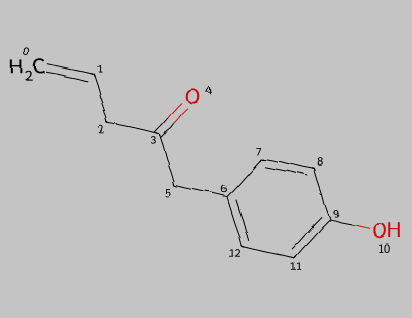 C=CCC(=O)Cc1ccc(O)cc1